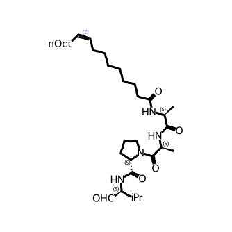 CCCCCCCC/C=C\CCCCCCCC(=O)N[C@@H](C)C(=O)N[C@@H](C)C(=O)N1CCC[C@H]1C(=O)N[C@H](C=O)C(C)C